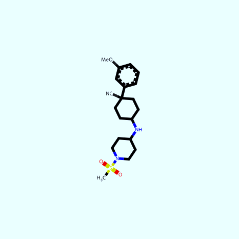 COc1cccc(C2(C#N)CCC(NC3CCN(S(C)(=O)=O)CC3)CC2)c1